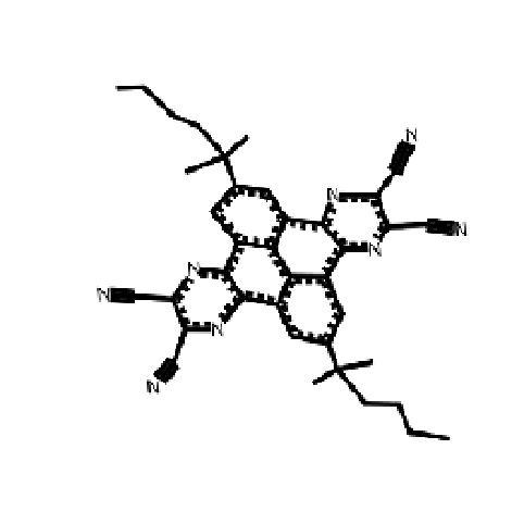 CCCCC(C)(C)c1cc2c3nc(C#N)c(C#N)nc3c3cc(C(C)(C)CCCC)cc4c5nc(C#N)c(C#N)nc5c(c1)c2c34